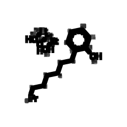 CC(C)CCCCCCc1ccccc1O.CCO.CCO.CCO